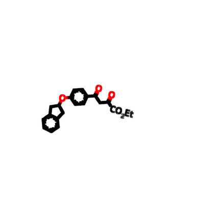 CCOC(=O)C(=O)CC(=O)c1ccc(OC2Cc3ccccc3C2)cc1